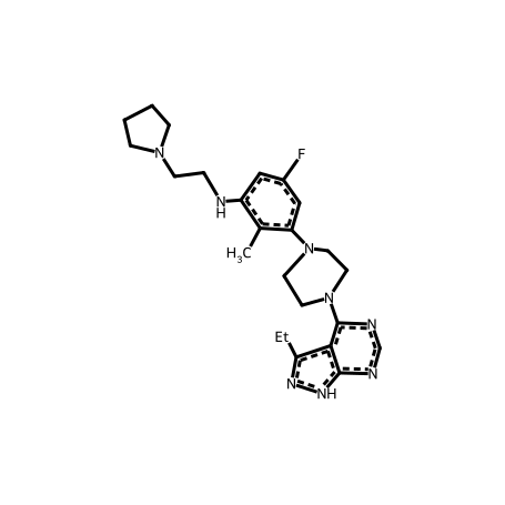 CCc1n[nH]c2ncnc(N3CCN(c4cc(F)cc(NCCN5CCCC5)c4C)CC3)c12